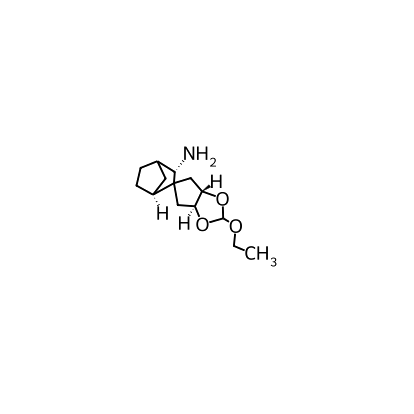 CCOC1O[C@H]2CC3(C[C@@H]2O1)[C@H]1CCC(C1)[C@@H]3N